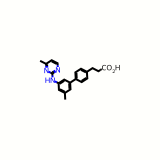 Cc1cc(Nc2nccc(C)n2)cc(-c2ccc(CCC(=O)O)cc2)c1